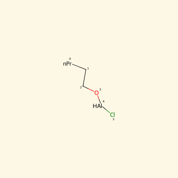 CCCCC[O][AlH][Cl]